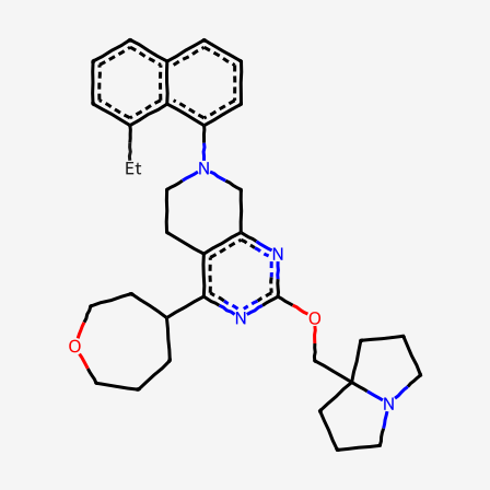 CCc1cccc2cccc(N3CCc4c(nc(OCC56CCCN5CCC6)nc4C4CCCOCC4)C3)c12